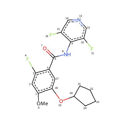 COc1cc(F)c(C(=O)Nc2c(F)cncc2F)cc1OC1CCCC1